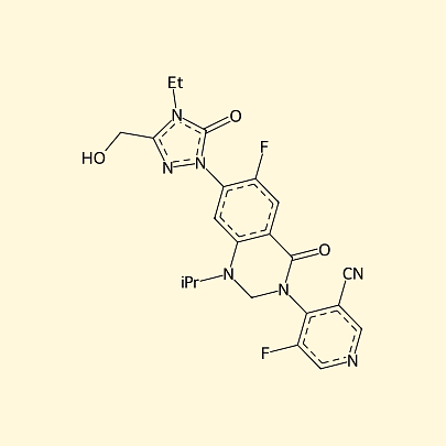 CCn1c(CO)nn(-c2cc3c(cc2F)C(=O)N(c2c(F)cncc2C#N)CN3C(C)C)c1=O